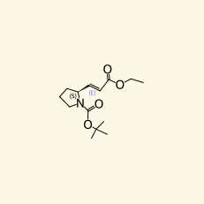 CCOC(=O)/C=C/[C@@H]1CCCN1C(=O)OC(C)(C)C